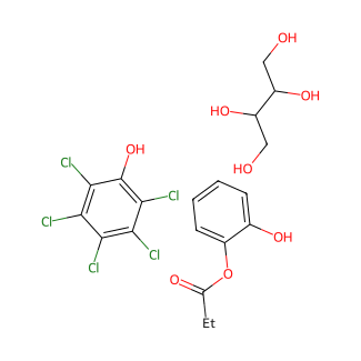 CCC(=O)Oc1ccccc1O.OCC(O)C(O)CO.Oc1c(Cl)c(Cl)c(Cl)c(Cl)c1Cl